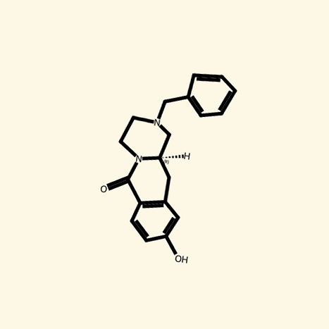 O=C1c2ccc(O)cc2C[C@@H]2CN(Cc3ccccc3)CCN12